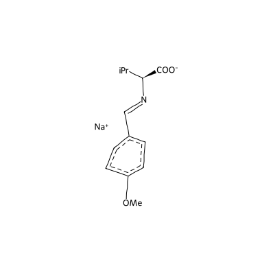 COc1ccc(C=N[C@H](C(=O)[O-])C(C)C)cc1.[Na+]